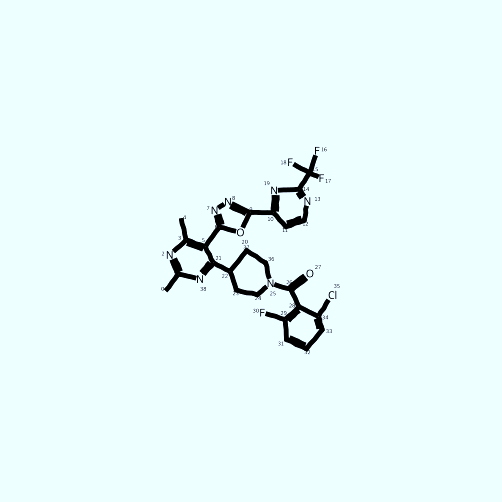 Cc1nc(C)c(-c2nnc(-c3ccnc(C(F)(F)F)n3)o2)c(C2CCN(C(=O)c3c(F)cccc3Cl)CC2)n1